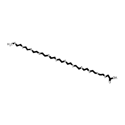 CSCCSCCSCCSCCSCCSCCSCCSCCSCCSCCSCCSCC(=O)O